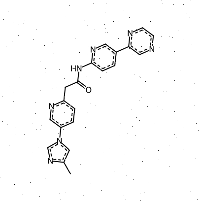 Cc1cn(-c2ccc(CC(=O)Nc3ccc(-c4cnccn4)cn3)nc2)cn1